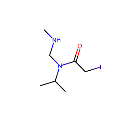 CNCN(C(=O)CI)C(C)C